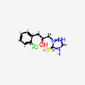 OC(Cc1ccccc1Cl)CN1NCNC1=S